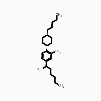 CC[CH]CCC(C)c1ccc([C@H]2CC[C@H](CCCCC)CC2)c(C)c1